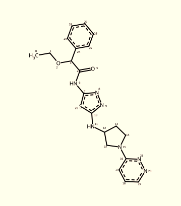 CCOC(C(=O)Nc1nnc(NC2CCN(c3cccnn3)C2)s1)c1ccccc1